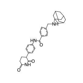 O=C1CCC(c2ccc(NC(=O)c3ccc(CNC45CC6CC(CC(C6)C4)C5)cc3)cc2)C(=O)N1